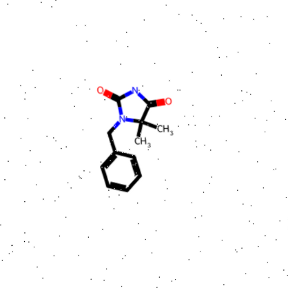 CC1(C)C(=O)[N]C(=O)N1Cc1ccccc1